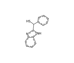 SC(c1ccccc1)c1nc2ccccc2[nH]1